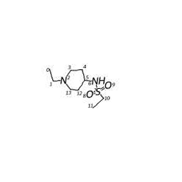 CCN1CCC(NS(=O)(=O)CC)CC1